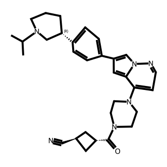 CC(C)N1CCC[C@H](c2ccc(-c3cc4c(N5CCN(C(=O)[C@H]6C[C@H](C#N)C6)CC5)ccnn4c3)cc2)C1